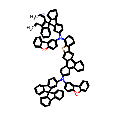 C=CC1=C(/C=C\C)C2(c3ccccc31)c1ccccc1-c1ccc(N(c3ccc4oc5ccccc5c4c3)c3cccc4c3sc3cc5c6ccc(N(c7ccc8c(c7)C7(c9ccccc9-c9ccccc97)c7ccccc7-8)c7ccc8oc9ccccc9c8c7)cc6c6ccccc6c5cc34)cc12